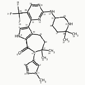 Cn1cc(N2C(=O)c3[nH]cc(-c4nc(NC5CCC(C)(C)NC5)ncc4C(F)(F)F)c3CCC2(C)C)cn1